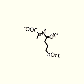 CCCCCCCCCCCC(=O)N(C)[C@@H](C)C(=O)[O-].[K+]